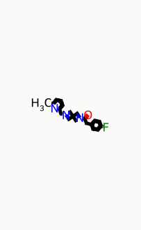 Cc1cccc(CN2CC3(C2)CN(C(=O)Cc2ccc(F)cc2)C3)n1